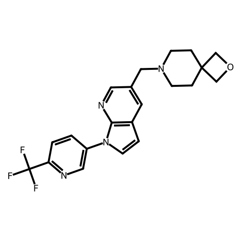 FC(F)(F)c1ccc(-n2ccc3cc(CN4CCC5(CC4)COC5)cnc32)cn1